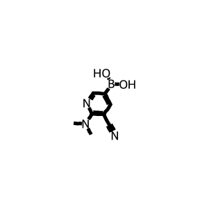 CN(C)c1ncc(B(O)O)cc1C#N